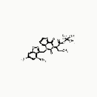 CCC(C(=O)OC(C)(C)C)n1c(=O)c2ncccc2n(Cc2nsc3cc(C)cc(C)c23)c1=O